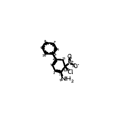 NC1=CC=C(c2ccccc2)CC1(Cl)[N+](=O)[O-]